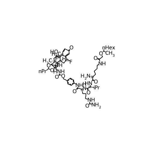 CCCCCCC(C)OCC(=O)NCCCC[C@@H](N)C(=O)N[C@H](C(=O)N[C@@H](CCCNC(N)=O)C(=O)Nc1ccc(COC(=O)NCC(=O)C23OC(CCC)O[C@@H]2C[C@H]2[C@@H]4C[C@H](F)C5=CC(=O)C=C[C@]5(C)[C@@]4(F)[C@@H](O)C[C@@]23C)cc1)C(C)C